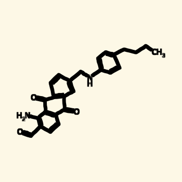 CCCCc1ccc(NCc2ccc3c(c2)C(=O)c2ccc(C=O)c(N)c2C3=O)cc1